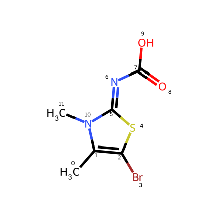 Cc1c(Br)s/c(=N\C(=O)O)n1C